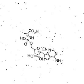 C[C@H](NP(=O)(O)OCC1O[C@@](C#N)(c2ccc3c(N)ncnn23)[C@H](O)[C@@H]1O)C(=O)O